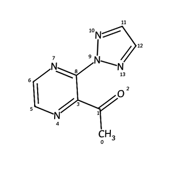 CC(=O)c1nccnc1-n1nccn1